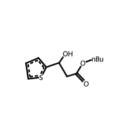 CCCCOC(=O)CC(O)c1cccs1